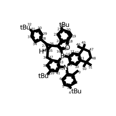 Cc1cc(C(C)(C)C)ccc1N1c2cc3c(cc2B2c4oc5c#cc(C(C)(C)C)cc5c4C4C(c5ccc(C(C)(C)C)cc5)[C@@H]4Cc4cc(C(C)(C)C)cc1c42)C(C)(C)CCC3(C)C